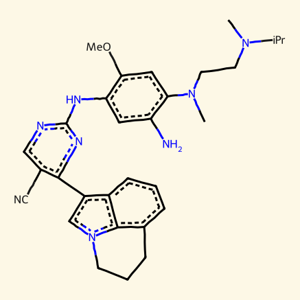 COc1cc(N(C)CCN(C)C(C)C)c(N)cc1Nc1ncc(C#N)c(-c2cn3c4c(cccc24)CCC3)n1